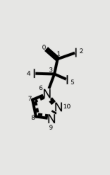 C=C(I)C(I)(I)n1ccnn1